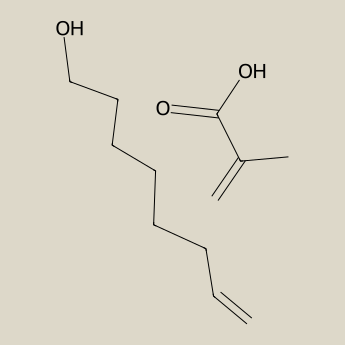 C=C(C)C(=O)O.C=CCCCCCCO